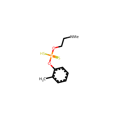 CNCCOP(=S)(S)Oc1ccccc1C